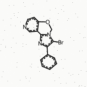 Brc1c(-c2ccccc2)nc2n1COc1ccncc1-2